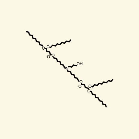 CCCCCCCCCCOC(CCC(=O)OCCCCCCCN(CCCCO)CCCCCCCOC(=O)CCC(OCCCCCCCCCC)OCCCCCCCCCC)OCCCCCCCCCC